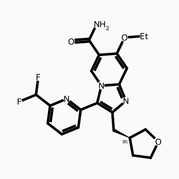 CCOc1cc2nc(C[C@@H]3CCOC3)c(-c3cccc(C(F)F)n3)n2cc1C(N)=O